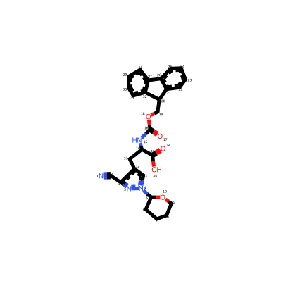 N#Cc1nn(C2CCCCO2)cc1CC(NC(=O)OCC1c2ccccc2-c2ccccc21)C(=O)O